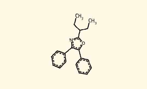 CCC(CC)c1nc(-c2ccccc2)c(-c2ccccc2)o1